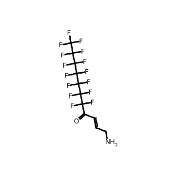 NCC=[C]C(=O)C(F)(F)C(F)(F)C(F)(F)C(F)(F)C(F)(F)C(F)(F)C(F)(F)F